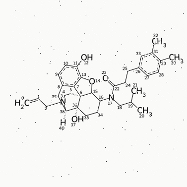 C=CCN1CC[C@]23c4c5ccc(O)c4OC2C(N(CC(C)C)C(=O)CCc2ccc(C)c(C)c2)CC[C@@]3(O)[C@H]1C5